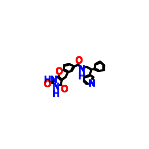 O=C(NCC(c1ccccc1)c1cccnc1)c1ccc2c(c1)Cc1c([nH]c(=O)[nH]c1=O)O2